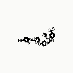 COC(=O)c1ccc2nc(CN3CCC(Oc4ccnc(COc5ccc(C#N)cc5F)n4)CC3)n(C[C@@H]3CCO3)c2c1